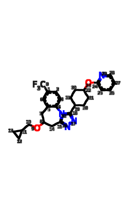 FC(F)(F)c1ccc2c(c1)CC(OCC1CC1)Cc1nnc(C3CCC(Oc4ccccn4)CC3)n1-2